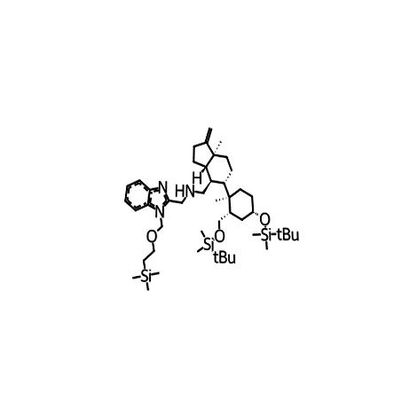 C=C1CC[C@H]2[C@H](CNCc3nc4ccccc4n3COCC[Si](C)(C)C)[C@@H]([C@@]3(C)CC[C@H](O[Si](C)(C)C(C)(C)C)C[C@@H]3CO[Si](C)(C)C(C)(C)C)CC[C@]12C